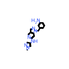 Cn1cc(Nc2cc3c(cn2)cnn3Cc2cccc(N)c2)cn1